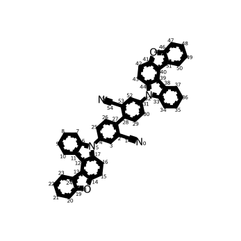 N#Cc1cc(-n2c3ccccc3c3c4c(ccc32)oc2ccccc24)ccc1-c1ccc(-n2c3ccccc3c3c4c(ccc32)oc2ccccc24)cc1C#N